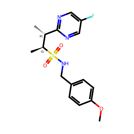 COc1ccc(CNS(=O)(=O)[C@@H](C)[C@H](C)c2ncc(F)cn2)cc1